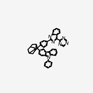 c1ccc(-n2c3ccccc3c3cc(C4(c5ccc(-c6nc(-c7ncncn7)c7ccccc7n6)cc5)C5CC6CC(C5)CC4C6)ccc32)cc1